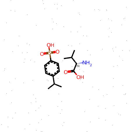 CC(C)[C@H](N)C(=O)O.CC(C)c1ccc(S(=O)(=O)O)cc1